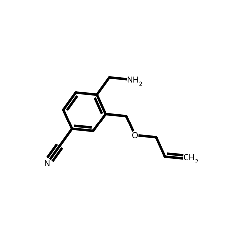 C=CCOCc1cc(C#N)ccc1CN